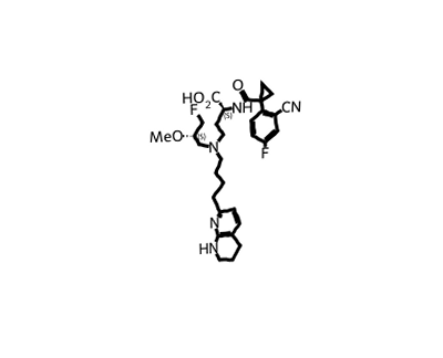 CO[C@H](CF)CN(CCCCc1ccc2c(n1)NCCC2)CC[C@H](NC(=O)C1(c2ccc(F)cc2C#N)CC1)C(=O)O